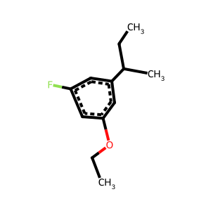 CCOc1cc(F)cc(C(C)CC)c1